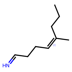 CCC/C(C)=C\CCC=N